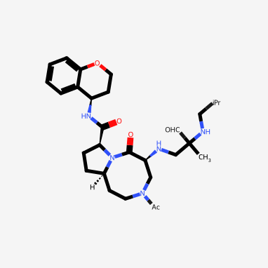 CC(=O)N1CC[C@H]2CC[C@@H](C(=O)N[C@@H]3CCOc4ccccc43)N2C(=O)[C@@H](NCC(C)(C=O)NCC(C)C)C1